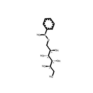 OC[C@@H](O)[C@@H](O)[C@H](O)[C@H](O)COB(O)c1ccccc1